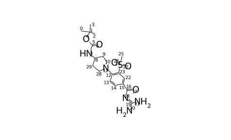 CC(C)(C)OC(=O)NC1CCN(c2ccc(C(=O)N=C(N)N)cc2S(C)(=O)=O)CC1